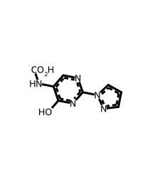 O=C(O)Nc1cnc(-n2cccn2)nc1O